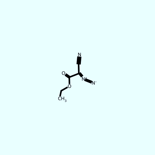 CCOC(=O)C(C#N)=[N+]=[N-]